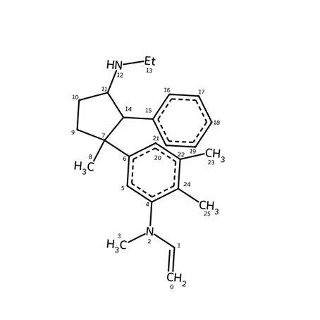 C=CN(C)c1cc(C2(C)CCC(NCC)C2c2ccccc2)cc(C)c1C